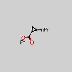 CCCC1C[C@@H]1C(=O)OCC